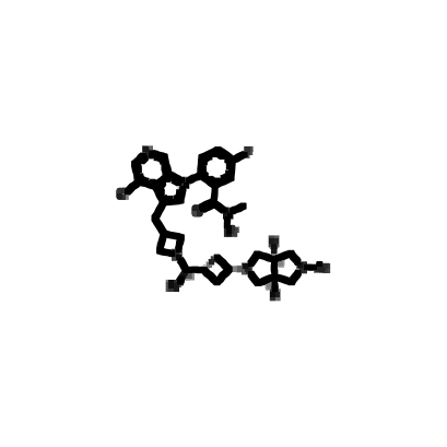 CC(=O)N1C[C@@H]2CN([C@H]3C[C@@H]([C@@H](C(C)C)N4CC(Cc5cn(-c6ccc(F)cc6C(=O)N(C)C(C)C)c6cncc(Cl)c56)C4)C3)C[C@H]2C1